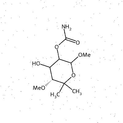 COC1OC(C)(C)[C@H](OC)C(O)C1OC(N)=O